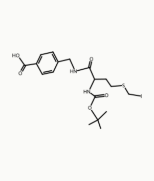 CC(C)(C)OC(=O)NC(CCSCI)C(=O)NCc1ccc(C(=O)O)cc1